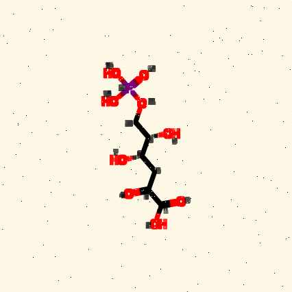 O=C(O)C(=O)C[C@H](O)[C@@H](O)COP(=O)(O)O